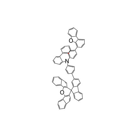 c1ccc(-c2ccccc2N(c2ccc(-c3ccc4c(c3)C3(c5ccccc5-4)c4ccc5ccccc5c4Oc4c3ccc3ccccc43)cc2)c2ccc(-c3cccc4c3oc3ccccc34)cc2)cc1